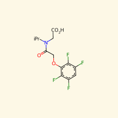 CC(C)N(CC(=O)O)C(=O)COc1c(F)c(F)cc(F)c1F